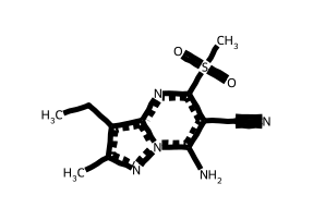 CCc1c(C)nn2c(N)c(C#N)c(S(C)(=O)=O)nc12